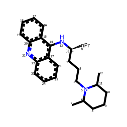 CCC[C@@H](CCCN1C(C)CCCC1C)Nc1c2ccccc2nc2ccccc12